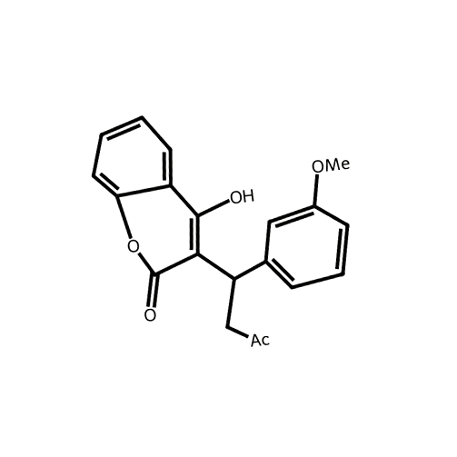 COc1cccc(C(CC(C)=O)c2c(O)c3ccccc3oc2=O)c1